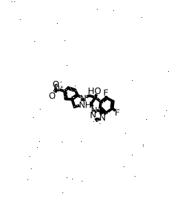 O=[N+]([O-])c1ccc2c(c1)CNN2CC(O)(Cn1cncn1)c1ccc(F)cc1F